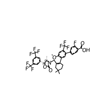 COc1cc(C(F)(F)F)c(-c2ccc(C(=O)O)c(F)c2)cc1C1=C(CN2C(=O)O[C@H](c3cc(C(F)(F)F)cc(C(F)(F)F)c3)[C@@H]2C)CC(C)(C)CC1